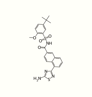 COc1ccc(C(C)(C)C)cc1S(=O)(=O)NC(=O)c1ccc2c(-c3nsc(N)n3)cccc2c1